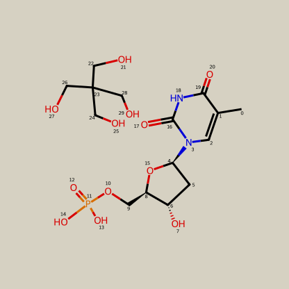 Cc1cn([C@H]2C[C@H](O)[C@@H](COP(=O)(O)O)O2)c(=O)[nH]c1=O.OCC(CO)(CO)CO